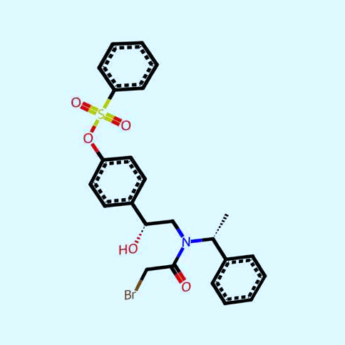 C[C@H](c1ccccc1)N(C[C@H](O)c1ccc(OS(=O)(=O)c2ccccc2)cc1)C(=O)CBr